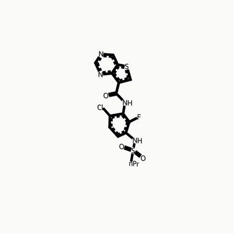 CCCS(=O)(=O)Nc1ccc(Cl)c(NC(=O)c2csc3cncnc23)c1F